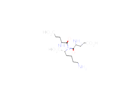 NCCCC[C@@H](C(=O)O)N(C(=O)[C@@H](N)CCC(=O)O)C(=O)[C@@H](N)CCC(=O)O